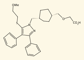 COCCSc1c(-c2ccccc2)c(-c2ccccc2)nn1C[C@H]1CC[C@@H](COCC(=O)O)CC1